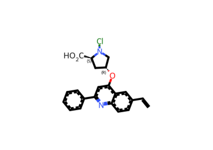 C=Cc1ccc2nc(-c3ccccc3)cc(O[C@@H]3C[C@@H](C(=O)O)N(Cl)C3)c2c1